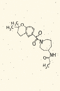 C=CC(=O)NC1CCCN(S(=O)(=O)c2ccc3c(c2)CCC(C)(C)O3)CC1